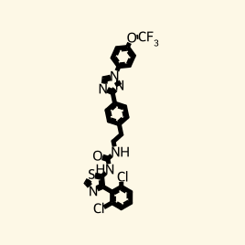 O=C(NCCc1ccc(-c2ncn(-c3ccc(OC(F)(F)F)cc3)n2)cc1)Nc1scnc1-c1c(Cl)cccc1Cl